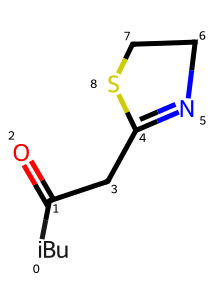 CCC(C)C(=O)CC1=NCCS1